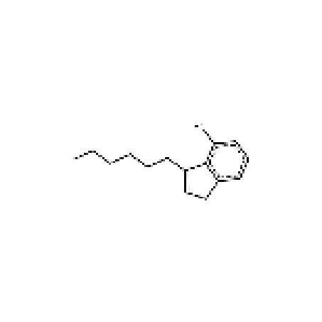 CCCCCCC1=CCc2cccc(Br)c21